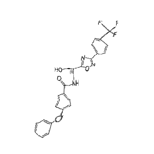 O=C(N[C@@H](CO)c1nc(-c2ccc(C(F)(F)F)cc2)no1)c1ccc(Oc2ccccc2)cc1